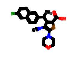 [C-]#[N+]c1c(N2CCOCC2)sc(C(=O)O)c1C(C)c1ccc2cc(F)ccc2c1